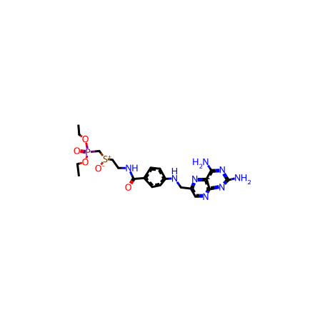 CCOP(=O)(C[S+]([O-])CCNC(=O)c1ccc(NCc2cnc3nc(N)nc(N)c3n2)cc1)OCC